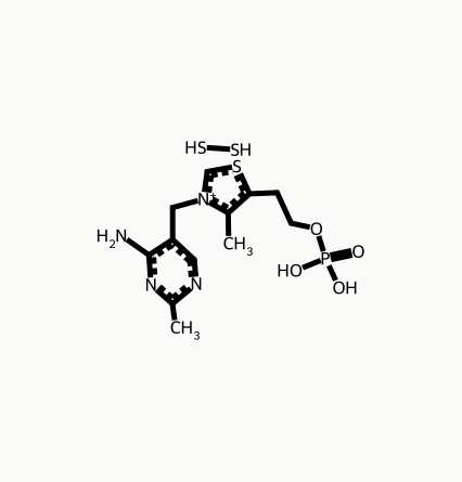 Cc1ncc(C[n+]2csc(CCOP(=O)(O)O)c2C)c(N)n1.SS